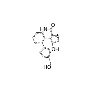 O=c1[nH]c2cccc(-c3ccc(CO)cc3)c2c2c(O)csc12